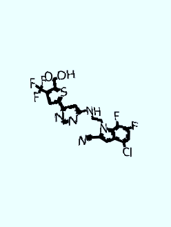 N#Cc1cc2c(Cl)cc(F)c(F)c2n1CCNc1cc(-c2cc(C(F)(F)F)c(C(=O)O)s2)ncn1